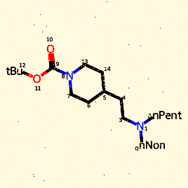 CCCCCCCCCN(CCCCC)CCC1CCN(C(=O)OC(C)(C)C)CC1